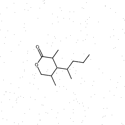 CCCC(C)C1C(C)COC(=O)C1C